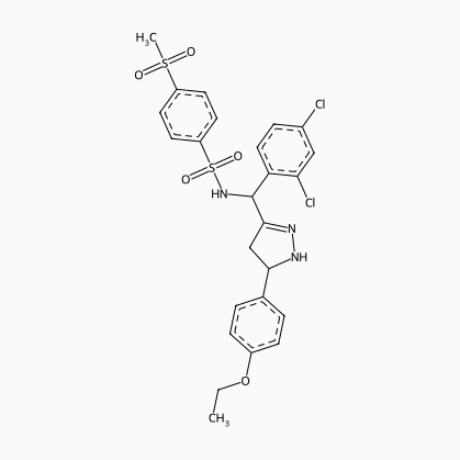 CCOc1ccc(C2CC(C(NS(=O)(=O)c3ccc(S(C)(=O)=O)cc3)c3ccc(Cl)cc3Cl)=NN2)cc1